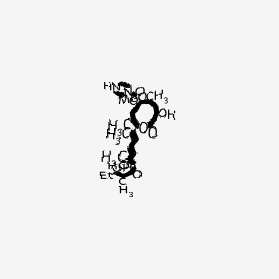 CC[C@H](O)[C@@H](C)[C@@H]1O[C@H]1C[C@@](C)(O)/C=C/C=C(\C)[C@H]1OC(=O)C[C@H](O)CC[C@@](C)(OC)C(OC(=O)N2CCNCC2)/C=C/[C@@H]1C